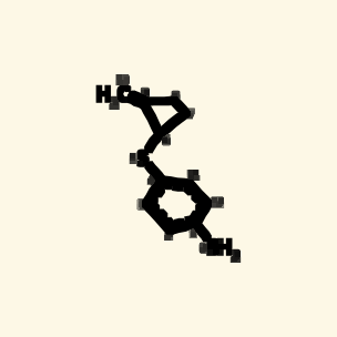 Bc1ccc(SC2CCC2=C)cc1